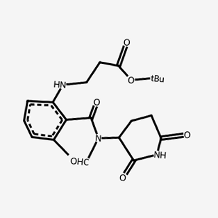 Cc1cccc(NCCC(=O)OC(C)(C)C)c1C(=O)N(C=O)C1CCC(=O)NC1=O